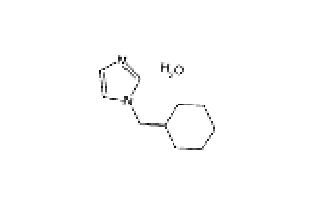 O.c1cn(CC2CCCCC2)cn1